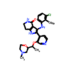 COc1c(Cl)cccc1Nc1c(-c2ccncc2OC(C)C2CN(C)CCO2)[nH]c2c1C(=O)NCC2